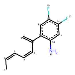 C=C(/C=C\C=C/C)c1cc(F)c(F)cc1N